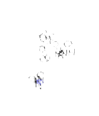 CCOc1nc2cccc(C(=O)OC(C)OC(=O)O[C@H](C)CCCCO/N=[N+](\[O-])N(C)C(C)(C)C)c2n1Cc1ccc(-c2ccccc2-c2nnn[nH]2)cc1